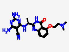 C[C@H](Nc1nc(N)nc(N)c1C#N)c1nc2cccc(OCCN(C)C)c2c(=O)[nH]1